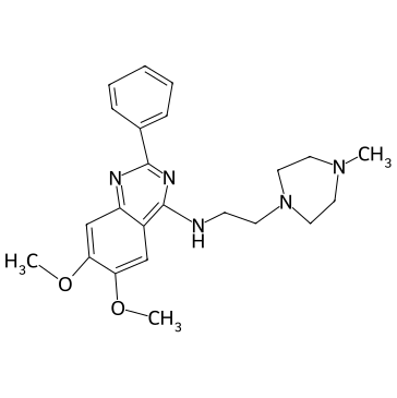 COc1cc2nc(-c3ccccc3)nc(NCCN3CCN(C)CC3)c2cc1OC